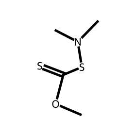 COC(=S)SN(C)C